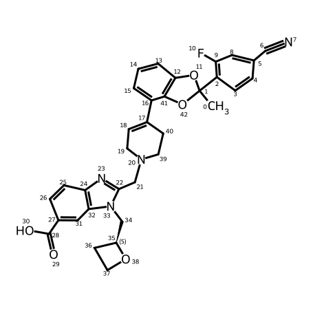 CC1(c2ccc(C#N)cc2F)Oc2cccc(C3=CCN(Cc4nc5ccc(C(=O)O)cc5n4C[C@@H]4CCO4)CC3)c2O1